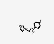 Fc1ccc(CCC[n+]2cc[nH]c2)cc1.[Br-]